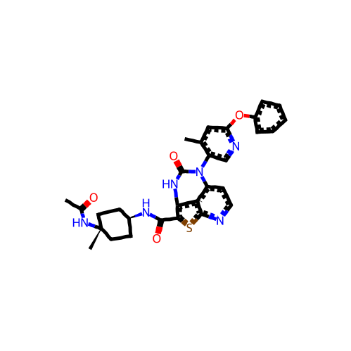 CC(=O)N[C@]1(C)CC[C@@H](NC(=O)c2sc3nccc4c3c2NC(=O)N4c2cnc(Oc3ccccc3)cc2C)CC1